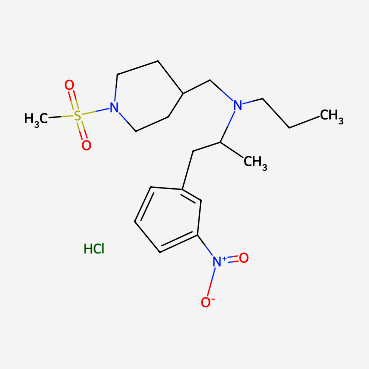 CCCN(CC1CCN(S(C)(=O)=O)CC1)C(C)Cc1cccc([N+](=O)[O-])c1.Cl